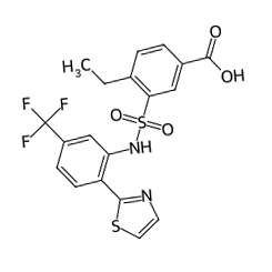 CCc1ccc(C(=O)O)cc1S(=O)(=O)Nc1cc(C(F)(F)F)ccc1-c1nccs1